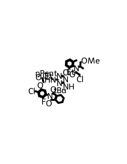 CCCCCOC(=O)COc1cc(N2C(=O)C3=C(CCCC3)C2=O)c(F)cc1Cl.CCNc1nc(Cl)nc(NC(C)(C)C)n1.CCc1cccc(C)c1N(C(=O)CCl)C(C)COC